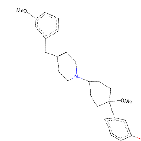 COc1cccc(CC2CCN(C3CCC(OC)(c4ccc5c(c4)OCO5)CC3)CC2)c1